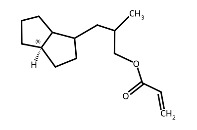 C=CC(=O)OCC(C)CC1CC[C@H]2CCCC12